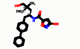 CCOC(=O)[C@](C)(CO)C[C@@H](Cc1ccc(-c2ccccc2)cc1)NC(=O)c1cc(O)no1